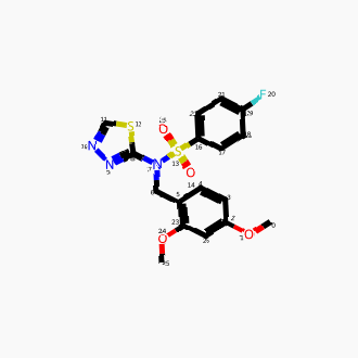 COc1ccc(CN(c2nncs2)S(=O)(=O)c2ccc(F)cc2)c(OC)c1